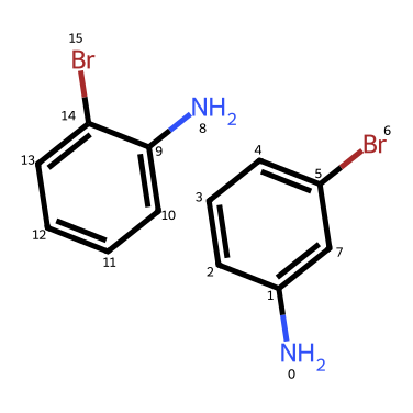 Nc1cccc(Br)c1.Nc1ccccc1Br